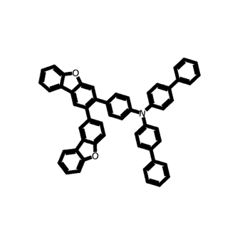 c1ccc(-c2ccc(N(c3ccc(-c4ccccc4)cc3)c3ccc(-c4cc5oc6ccccc6c5cc4-c4ccc5oc6ccccc6c5c4)cc3)cc2)cc1